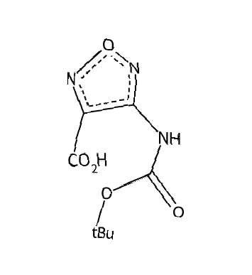 CC(C)(C)OC(=O)Nc1nonc1C(=O)O